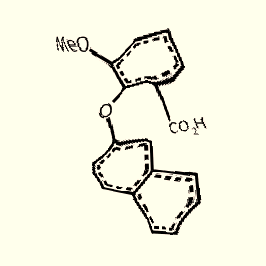 COc1cccc(C(=O)O)c1Oc1ccc2ccccc2c1